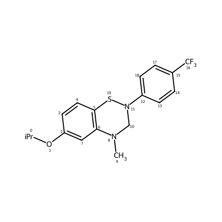 CC(C)Oc1ccc2c(c1)N(C)CN(c1ccc(C(F)(F)F)cc1)S2